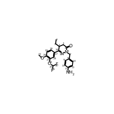 CCC1CC(=O)N(Cc2ccc(N)cc2)N=C1c1ccc(OC)c(OC(F)F)c1